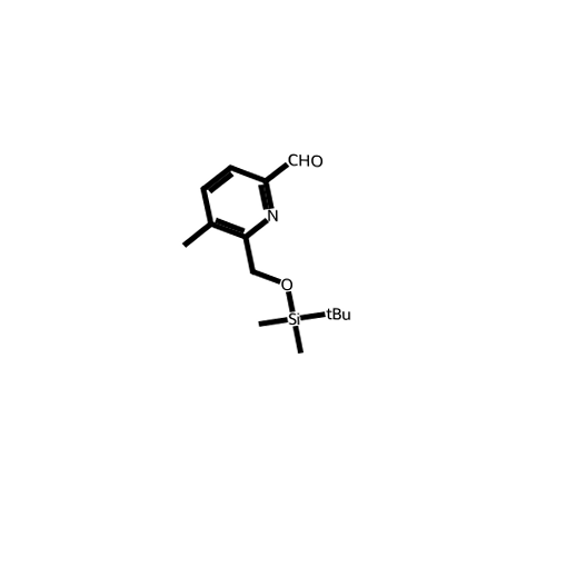 Cc1ccc(C=O)nc1CO[Si](C)(C)C(C)(C)C